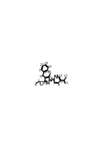 CCOc1nn(-c2ccc(C(C)C)cn2)c(C)c1Cc1ccccc1